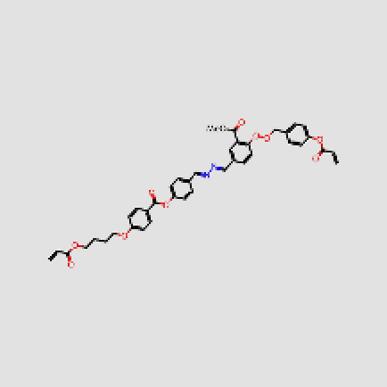 C=CC(=O)OCCCCOc1ccc(C(=O)Oc2ccc(/C=N/N=C/c3ccc(OOCc4ccc(OC(=O)C=C)cc4)c(C(=O)OC)c3)cc2)cc1